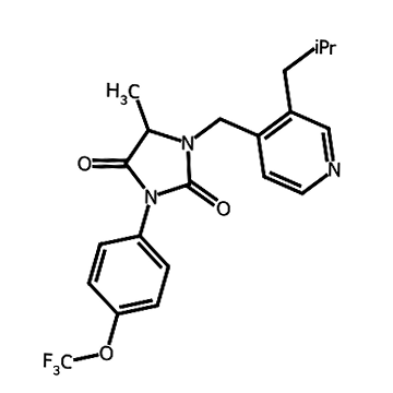 CC(C)Cc1cnccc1CN1C(=O)N(c2ccc(OC(F)(F)F)cc2)C(=O)C1C